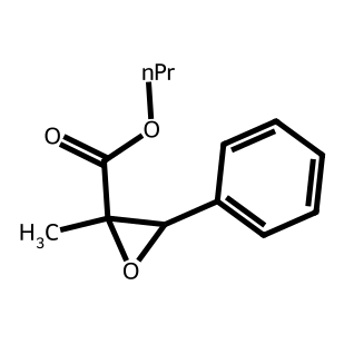 CCCOC(=O)C1(C)OC1c1ccccc1